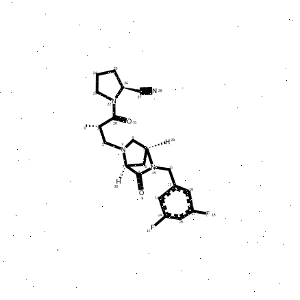 C[C@@H](CN1C[C@@H]2C[C@H]1C(=O)N2Cc1cc(F)cc(F)c1)C(=O)N1CCC[C@H]1C#N